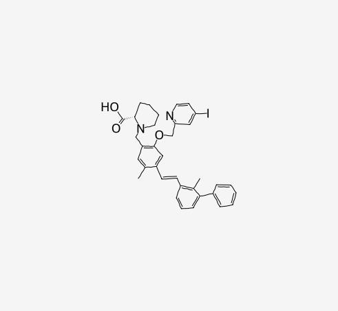 Cc1cc(CN2CCCC[C@H]2C(=O)O)c(OCc2cc(I)ccn2)cc1/C=C/c1cccc(-c2ccccc2)c1C